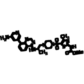 COC(=O)Nc1nc(C)c(S(=O)(=O)N2CCN(C[C@H](C)Nc3ncnc4c(-c5cncc(N)c5)cccc34)CC2)s1